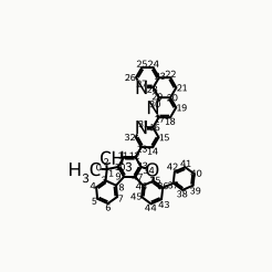 CC1(C)c2ccccc2-c2c1cc(-c1ccc(-c3ccc4ccc5cccnc5c4n3)nc1)c1oc3c(-c4ccccc4)cccc3c21